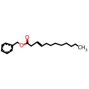 CCCCCCCC/C=C/CC(=O)OCc1ccccc1